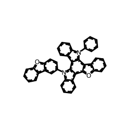 c1ccc(-n2c3ccccc3c3c4c(c5ccccc5n4-c4ccc5oc6ccccc6c5c4)c4oc5ccccc5c4c32)cc1